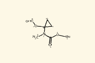 CN(C(=O)OC(C)(C)C)C1(OC=O)CC1